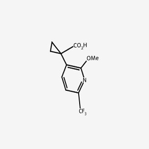 COc1nc(C(F)(F)F)ccc1C1(C(=O)O)CC1